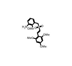 COc1cc(OC)c(/C=C/S(=O)(=O)Cc2cccc(N)c2OC)c(OC)c1